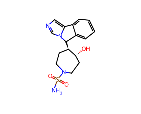 NS(=O)(=O)N1CC[C@@H](O)[C@H](C2c3ccccc3-c3cncn32)CC1